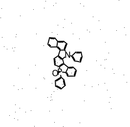 O=P1(c2ccccc2)c2ccccc2-c2c1ccc1c3c4ccccc4ccc3n(-c3ccccc3)c21